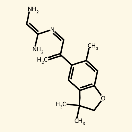 C=C(/C=N\C(N)=C/N)c1cc2c(cc1C)OCC2(C)C